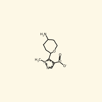 Cn1ncc([N+](=O)[O-])c1C1CCC(N)CCO1